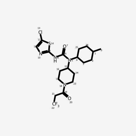 CC1CCC(N(C(=O)Nc2ncc(Cl)s2)C2CCN(C(=O)CC(F)(F)F)CC2)CC1